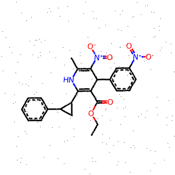 CCOC(=O)C1=C(C2CC2c2ccccc2)NC(C)=C([N+](=O)[O-])C1c1cccc([N+](=O)[O-])c1